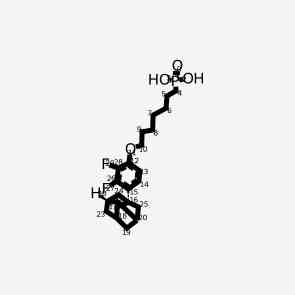 O=P(O)(O)CCCCCCCOc1ccc([C@]23CC4CC(C[C@H](C4)C2)C3)c(F)c1F